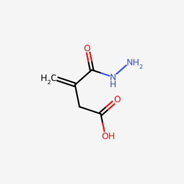 C=C(CC(=O)O)C(=O)NN